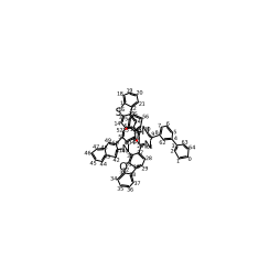 c1ccc(-c2cccc(-c3nc(-c4ccc5sc6ccccc6c5c4)nc(-c4ccc5c(oc6ccccc65)c4-n4c5cc6ccccc6cc5c5cc6ccccc6cc54)n3)c2)cc1